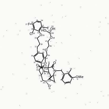 COc1cccc(CN(C(=O)C2(C)C(c3ccc(CCCOc4c(F)ccc(F)c4Cl)cc3)CC3C[S+]([O-])CC2N3C(=O)OCCOCCON(O)O)C2CC2)c1C